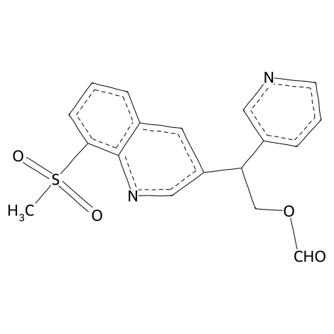 CS(=O)(=O)c1cccc2cc(C(COC=O)c3cccnc3)cnc12